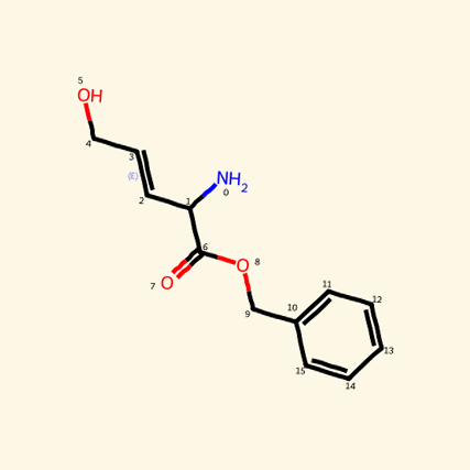 NC(/C=C/CO)C(=O)OCc1ccccc1